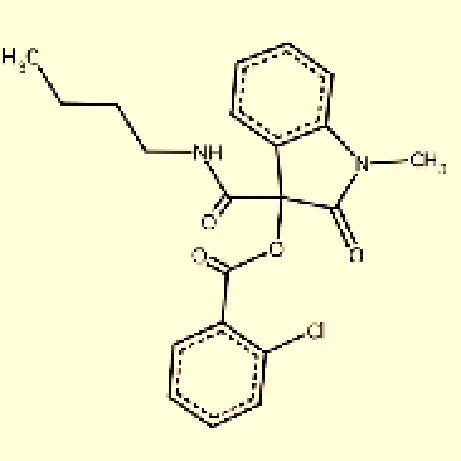 CCCCNC(=O)C1(OC(=O)c2ccccc2Cl)C(=O)N(C)c2ccccc21